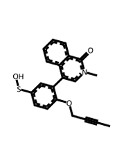 CC#CCOc1ccc(SO)cc1-c1cn(C)c(=O)c2ccccc12